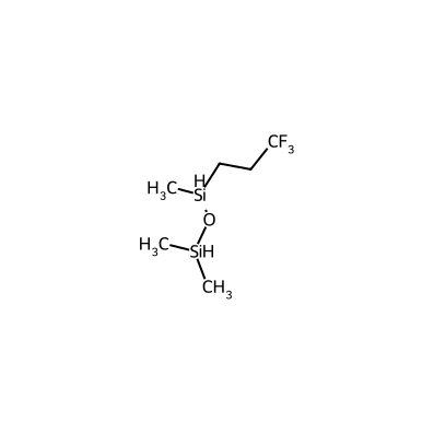 C[SiH](C)O[SiH](C)CCC(F)(F)F